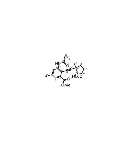 COC(=O)c1cc(F)cc(NC(=O)C(F)(F)F)c1C#CC1(C)CCCN1C(=O)O